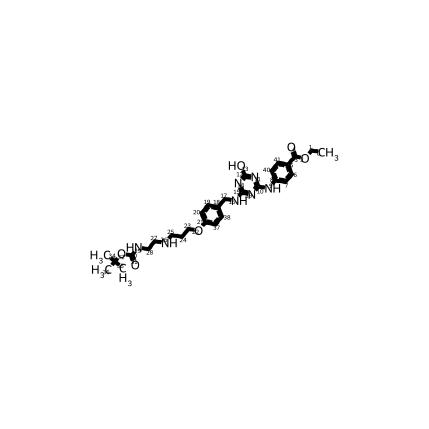 CCOC(=O)c1ccc(Nc2nc(O)nc(NCc3ccc(OCCCNCCNC(=O)OC(C)(C)C)cc3)n2)cc1